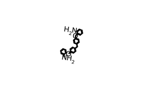 Nc1ccccc1Oc1ccc(Cc2ccc(Oc3ccccc3N)cc2)cc1